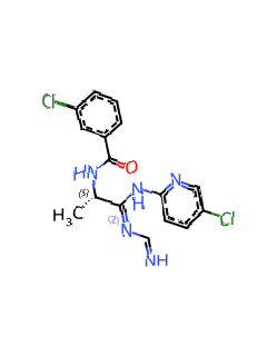 C[C@H](NC(=O)c1cccc(Cl)c1)/C(=N/C=N)Nc1ccc(Cl)cn1